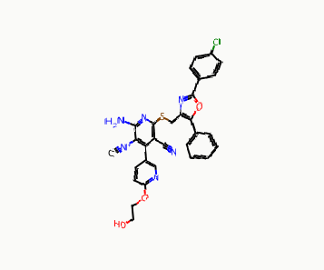 [C-]#[N+]c1c(N)nc(SCc2nc(-c3ccc(Cl)cc3)oc2-c2ccccc2)c(C#N)c1-c1ccc(OCCO)nc1